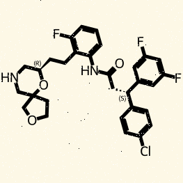 O=C([CH][C@@H](c1ccc(Cl)cc1)c1cc(F)cc(F)c1)Nc1cccc(F)c1CC[C@@H]1CNCC2(CCOC2)O1